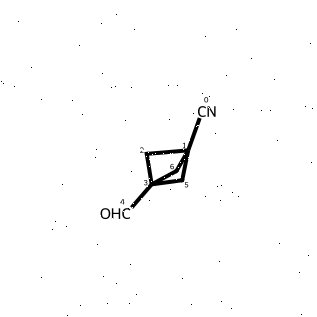 N#CC12CC(C=O)(C1)C2